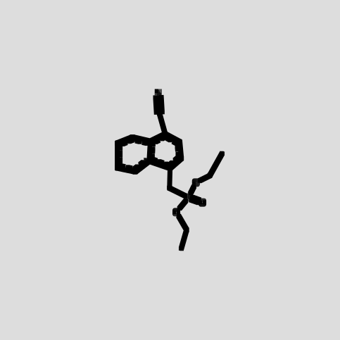 CCOP(=O)(Cc1ccc(C#N)c2ccccc12)OCC